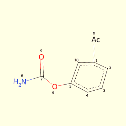 CC(=O)c1cccc(OC(N)=O)c1